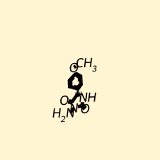 COc1ccc([C@H]2NC(=O)N(N)C2=O)cc1